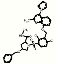 CNC(=O)C1CC(OCc2ccccc2)CN1S(=O)(=O)c1ccc(Cl)c(COc2cccc3c(-n4ccnc4)cc(C)nc23)c1Cl